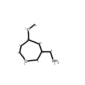 COC1CCOCC(CN)C1